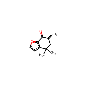 C=C1CC(C)(C)c2ccoc2C1=O